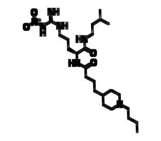 CCCCN1CCC(CCCC(=O)N[C@@H](CCCNC(=N)N[N+](=O)[O-])C(=O)NCCC(C)C)CC1